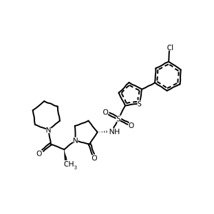 C[C@@H](C(=O)N1CCCCC1)N1CC[C@H](NS(=O)(=O)c2ccc(-c3cccc(Cl)c3)s2)C1=O